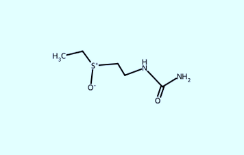 CC[S+]([O-])CCNC(N)=O